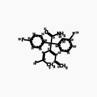 C=C/C=C(\C=C(/C)F)C(C(N)=O)(c1ccc(F)cc1)c1cccc(F)c1